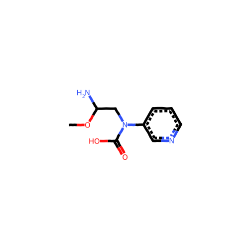 COC(N)CN(C(=O)O)c1cccnc1